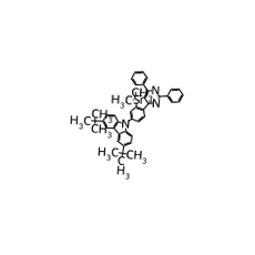 CC(C)(C)c1ccc2c(c1)c1cc(C(C)(C)C)ccc1n2-c1ccc2c(c1)[Si](C)(C)c1c(-c3ccccc3)nc(-c3ccccc3)nc1-2